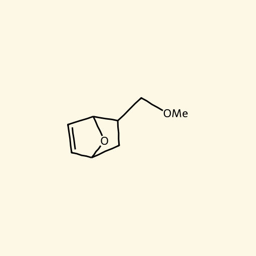 COCC1CC2C=CC1O2